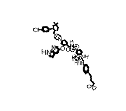 COC(=O)CCCc1ccc(NCCNc2ccc(S(=O)(=O)NC(=O)c3ccc(N4CCN(CC5=C(c6ccc(Cl)cc6)CC(C)(C)CC5)CC4)cc3Oc3cnc4[nH]ccc4c3)cc2S(=O)(=O)C(F)(F)F)cc1